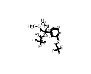 CNC(COC)(OC(=O)C(F)(F)F)c1ccnc(OCC(F)(F)F)c1